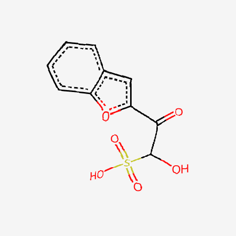 O=C(c1cc2ccccc2o1)C(O)S(=O)(=O)O